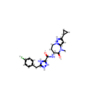 CN1C(=O)[C@@H](NC(=O)c2nnc(Cc3ccc(F)cc3)[nH]2)CCn2nc(C3CC3)cc21